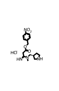 CN(C[C@H]1CCNC1)C(=N)CC(=O)OCc1ccc([N+](=O)[O-])cc1.Cl